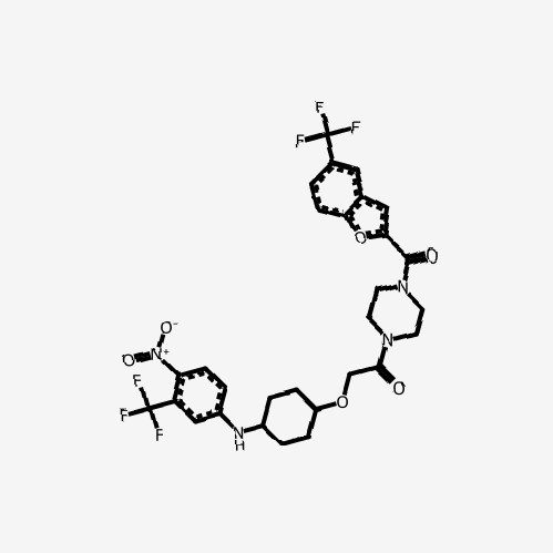 O=C(COC1CCC(Nc2ccc([N+](=O)[O-])c(C(F)(F)F)c2)CC1)N1CCN(C(=O)c2cc3cc(C(F)(F)F)ccc3o2)CC1